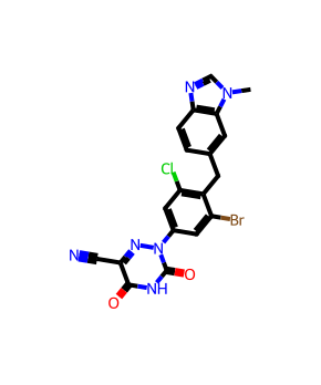 Cn1cnc2ccc(Cc3c(Cl)cc(-n4nc(C#N)c(=O)[nH]c4=O)cc3Br)cc21